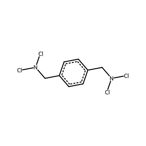 ClN(Cl)Cc1ccc(CN(Cl)Cl)cc1